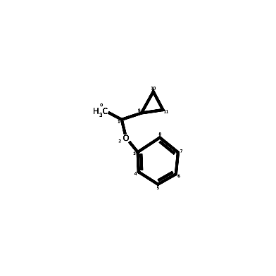 C[C](Oc1ccccc1)C1CC1